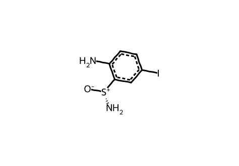 Nc1ccc(I)cc1[S@+](N)[O-]